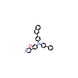 c1ccc(-c2ccc(N(c3ccc(-c4ccc5ccccc5c4)cc3)c3ccc4c(c3)oc3cnccc34)cc2)cc1